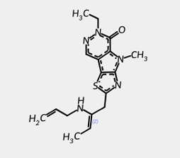 C=CCN/C(=C\C)Cc1nc2c(s1)c1cnn(CC)c(=O)c1n2C